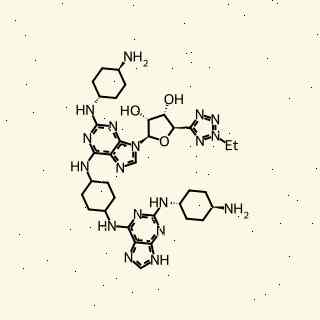 CCn1nnc([C@H]2O[C@@H](n3cnc4c(NC5CCC(Nc6nc(N[C@H]7CC[C@H](N)CC7)nc7[nH]cnc67)CC5)nc(N[C@H]5CC[C@H](N)CC5)nc43)[C@H](O)[C@@H]2O)n1